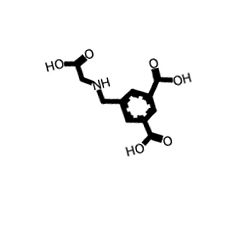 O=C(O)CNCc1cc(C(=O)O)cc(C(=O)O)c1